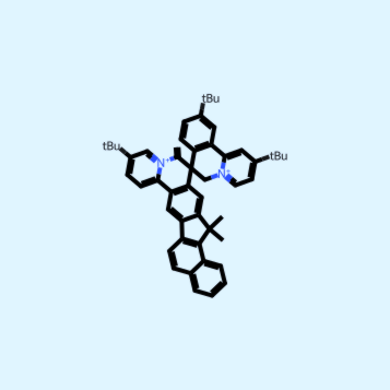 C=C1[n+]2cc(C(C)(C)C)ccc2-c2cc3c(cc2C12C[n+]1ccc(C(C)(C)C)cc1-c1cc(C(C)(C)C)ccc12)C(C)(C)c1c-3ccc2ccccc12